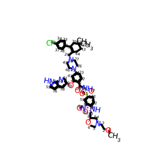 COCCN1CCOC(CNc2ccc(S(=O)(=O)NC(=O)c3ccc(N4CCN(CC5=C(c6ccc(Cl)cc6)CC(C)(C)CC5)CC4)cc3Oc3cnc4[nH]ccc4c3)cc2[N+](=O)[O-])C1